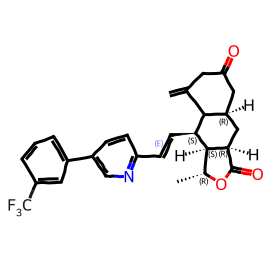 C=C1CC(=O)C[C@H]2C[C@H]3C(=O)O[C@H](C)[C@H]3[C@@H](/C=C/c3ccc(-c4cccc(C(F)(F)F)c4)cn3)C12